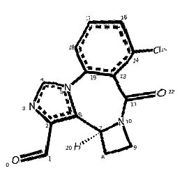 O=Cc1ncn2c1[C@@H]1CCN1C(=O)c1c(Cl)cccc1-2